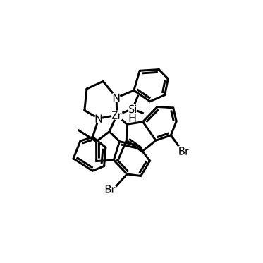 CC1=Cc2c(Br)cccc2[CH]1[Zr]1([CH]2C(C)=Cc3c(Br)cccc32)([SiH](C)C)[N](c2ccccc2)CCC[N]1c1ccccc1